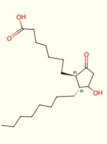 CCCCCCCC[C@H]1C(O)CC(=O)[C@@H]1CCCCCCC(=O)O